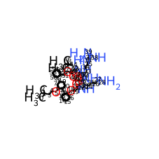 CC(C)CCOc1ccccc1-c1ccccc1OCC(=O)N[C@H](CCCCN)C(=O)N[C@H](CCCNC(=N)N)C(=O)N[C@@H](CC(C)C)C(=O)OCc1ccccc1